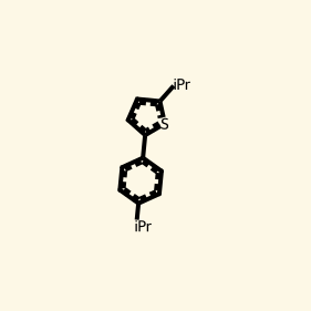 CC(C)c1ccc(-c2ccc(C(C)C)s2)cc1